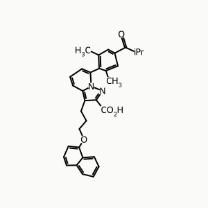 Cc1cc(C(=O)C(C)C)cc(C)c1-c1cccc2c(CCCOc3cccc4ccccc34)c(C(=O)O)nn12